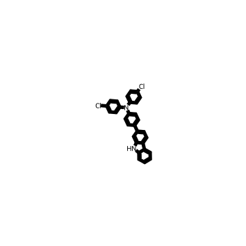 Clc1ccc(N(c2ccc(Cl)cc2)c2ccc(-c3ccc4c(c3)[nH]c3ccccc34)cc2)cc1